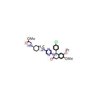 COC(=O)CN[C@H]1CC[C@H](CN(C)c2cnc(N3C(=O)Cc4cc(OC)c(OC(C)C)cc4[C@@H]3c3ccc(Cl)cc3)cn2)CC1